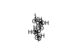 CCCCNC(=O)C1C=C(S(=O)(=O)O)C(CNC(=O)C2C=C(S(=O)(=O)O)C(CNC(=O)OC(C)(C)C)=CC2)=CC1